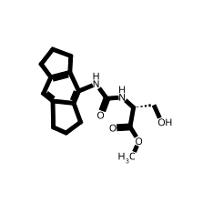 COC(=O)[C@@H](CO)NC(=O)Nc1c2c(cc3c1CCC3)CCC2